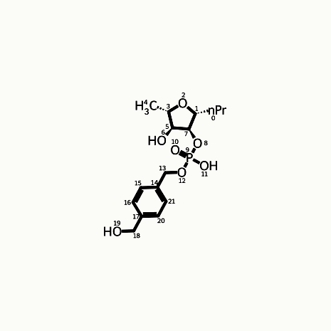 CCC[C@H]1O[C@@H](C)[C@H](O)[C@@H]1OP(=O)(O)OCc1ccc(CO)cc1